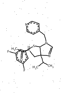 CC(=O)NCC1(C(C)C)N=CN(Cc2ccncc2)C1Sc1cc(F)cc(F)c1